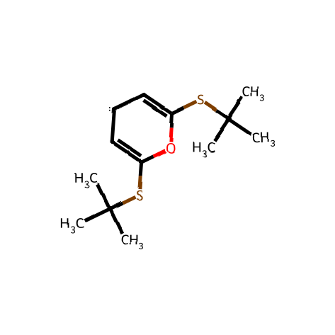 CC(C)(C)SC1=C[C]C=C(SC(C)(C)C)O1